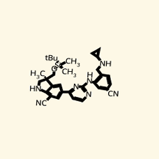 CC(C)(C)[Si](C)(C)OC[C@@]1(C)CNc2c(C#N)cc(-c3ccnc(Nc4cc(C#N)ccc4CNC4CC4)n3)cc21